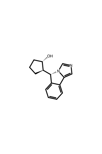 O[C@H]1CCC[C@@H]1[C@H]1c2ccccc2-c2cncn21